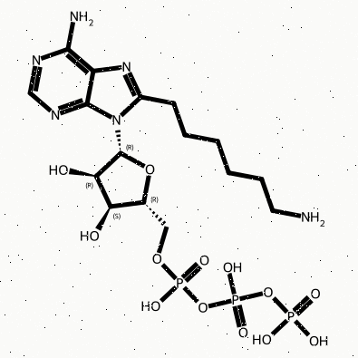 NCCCCCCc1nc2c(N)ncnc2n1[C@@H]1O[C@H](COP(=O)(O)OP(=O)(O)OP(=O)(O)O)[C@@H](O)[C@H]1O